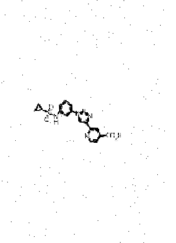 O=C(O)c1ccnc(-c2cn(-c3cccc(NS(=O)(=O)C4CC4)c3)nn2)c1